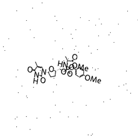 COC(=O)C(C)NP(=O)(OC[C@@H]1CC[C@H](n2cc(C)c(=O)[nH]c2=O)O1)Oc1ccc(OC)cc1